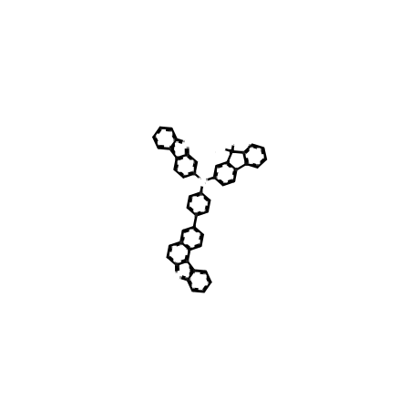 CC1(C)c2ccccc2-c2ccc(N(c3ccc(-c4ccc5c(ccc6oc7ccccc7c65)c4)cc3)c3ccc4c(c3)oc3ccccc34)cc21